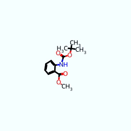 COC(=O)c1ccccc1NC(=O)OC(C)(C)C